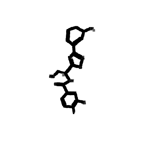 O=C(N[C@@H](CO)c1nc(C2=CC(C(F)(F)F)CC=C2)no1)c1ccc(F)c(Cl)c1